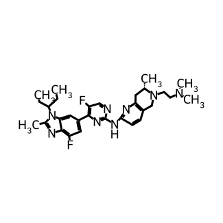 CCC(CC)n1c(C)nc2c(F)cc(-c3nc(Nc4ccc5c(n4)C[C@H](C)N(CCN(C)C)C5)ncc3F)cc21